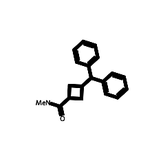 CNC(=O)C1CC(C(c2ccccc2)c2ccccc2)C1